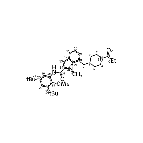 CCC(=O)N1CCC(Cc2cccc3cc(C(=O)Nc4cc(C(C)(C)C)cc(C(C)(C)C)c4OC)n(C)c23)CC1